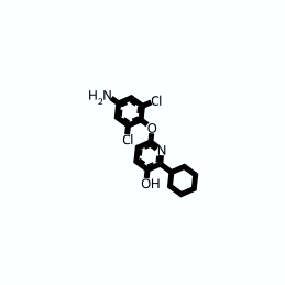 Nc1cc(Cl)c(Oc2ccc(O)c(C3CCCCC3)n2)c(Cl)c1